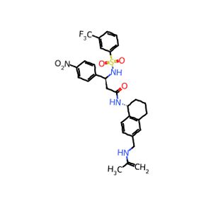 C=C(C)NCc1ccc2c(c1)CCC[C@H]2NC(=O)C[C@H](NS(=O)(=O)c1cccc(C(F)(F)F)c1)c1ccc([N+](=O)[O-])cc1